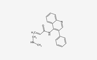 C=CC(=O)Nc1c(-c2ccccc2)cnc2ccccc12.CNC